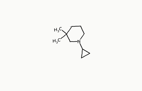 CC1(C)[CH]CCN(C2CC2)C1